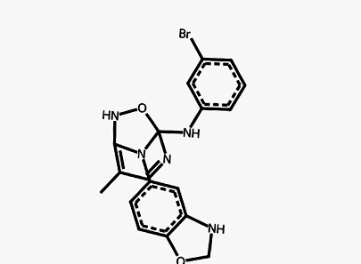 CC1=C2NOC(Nc3cccc(Br)c3)(N=C1)N2c1ccc2c(c1)NCO2